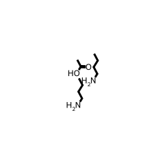 CC(=O)O.CCCCN.CCCCN